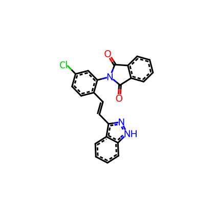 O=C1c2ccccc2C(=O)N1c1cc(Cl)ccc1C=Cc1n[nH]c2ccccc12